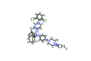 CN1CCN(c2ccc(NC34CC5CC(CC(CN6C=CCN(c7c(Cl)cccc7Cl)C6)(C5)C3)C4)cc2)CC1